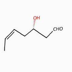 C/C=C\C[C@H](O)CC=O